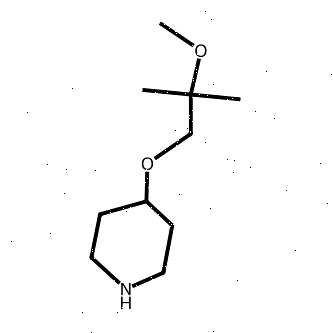 COC(C)(C)COC1CCNCC1